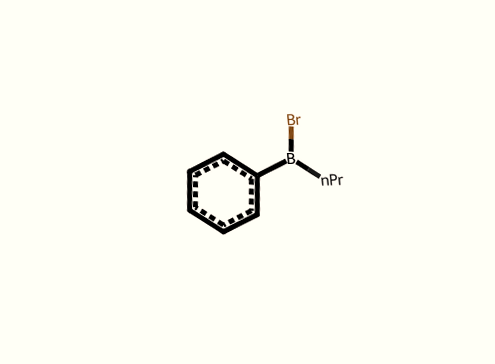 CCCB(Br)c1ccccc1